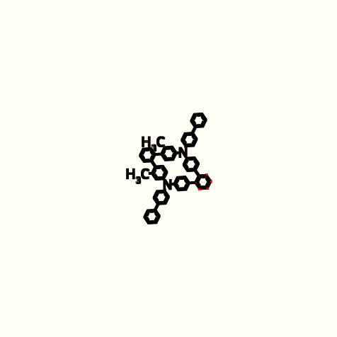 Cc1cc(N(c2ccc(-c3ccccc3)cc2)c2ccc(-c3ccccc3)cc2)ccc1-c1ccccc1-c1ccc(N(c2ccc(-c3ccccc3)cc2)c2ccc(-c3ccccc3)cc2)cc1C